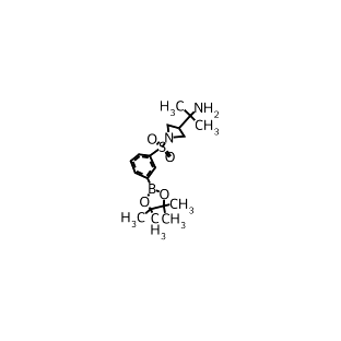 CC(C)(N)C1CN(S(=O)(=O)c2cccc(B3OC(C)(C)C(C)(C)O3)c2)C1